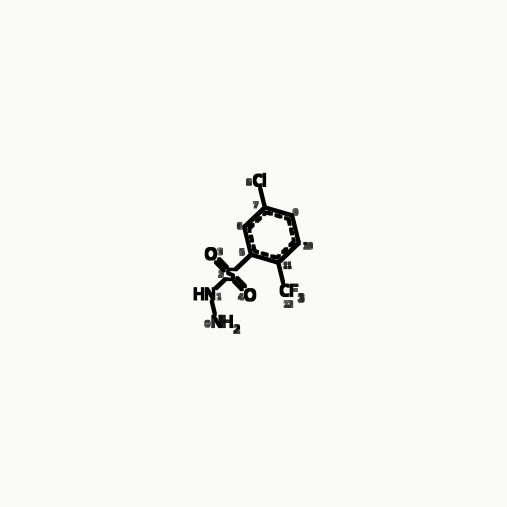 NNS(=O)(=O)c1cc(Cl)ccc1C(F)(F)F